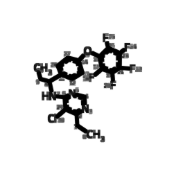 CCc1ncnc(NC(CC)c2ccc(Oc3c(F)c(F)c(F)c(F)c3F)cc2)c1Cl